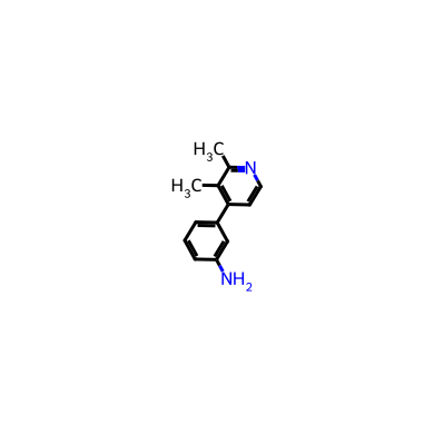 Cc1nccc(-c2cccc(N)c2)c1C